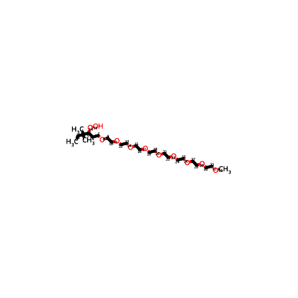 CCC(C)(C)C(CCOCCOCCOCCOCCOCCOCCOCCOCCOC)OO